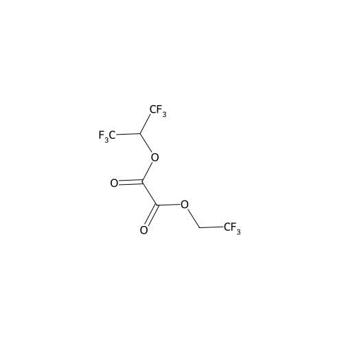 O=C(OCC(F)(F)F)C(=O)OC(C(F)(F)F)C(F)(F)F